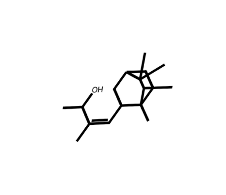 CC(=CC1CC2CCC1(C)C(C)C2(C)C)C(C)O